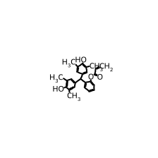 C=CC(=O)Oc1ccccc1C(c1cc(C)c(O)c(C)c1)c1cc(C)c(O)c(C)c1